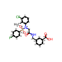 Cc1c(Cl)cccc1N(CC(=O)NCc1cccc(C(=O)O)c1)S(=O)(=O)c1ccc(F)cc1